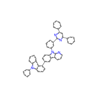 c1ccc(-c2cc(-c3ccccc3)nc(-c3cccc(-n4c5ccc(-c6cccc7c6c6ccccc6n7-c6ccccc6)cc5c5cccnc54)c3)n2)cc1